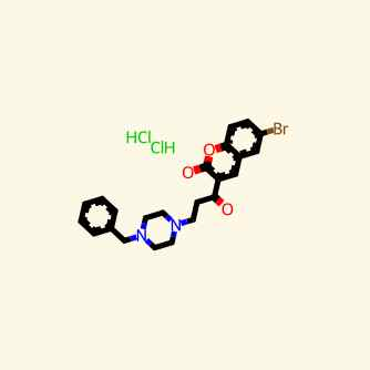 Cl.Cl.O=C(CCN1CCN(Cc2ccccc2)CC1)c1cc2cc(Br)ccc2oc1=O